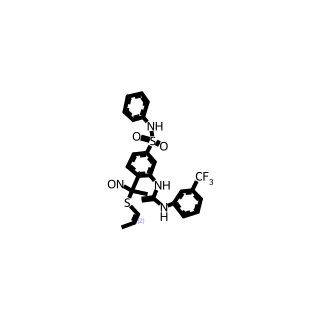 C=C(Nc1cccc(C(F)(F)F)c1)Nc1cc(S(=O)(=O)Nc2ccccc2)ccc1C(C)(N=O)S/C=C\C